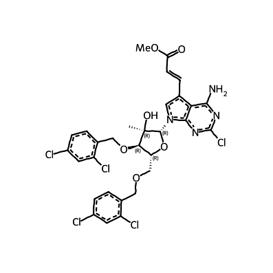 COC(=O)C=Cc1cn([C@@H]2O[C@H](COCc3ccc(Cl)cc3Cl)[C@@H](OCc3ccc(Cl)cc3Cl)[C@@]2(C)O)c2nc(Cl)nc(N)c12